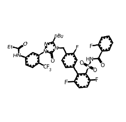 CCCCc1nn(-c2cc(NC(=O)CC)ccc2C(F)(F)F)c(=O)n1Cc1ccc(-c2c(F)ccc(F)c2S(=O)(=O)NC(=O)c2ccccc2F)cc1F